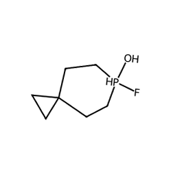 O[PH]1(F)CCC2(CC2)CC1